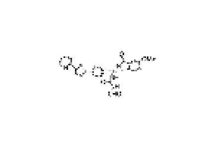 COc1ccc2c(c1)C(=O)N(C[C@H](NC(=O)NC=O)c1ccc(-c3ccc(-c4ccccn4)s3)cc1)C2